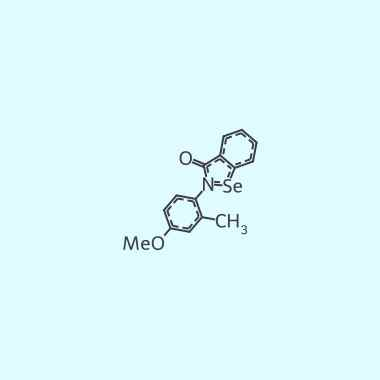 COc1ccc(-n2[se]c3ccccc3c2=O)c(C)c1